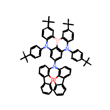 CC(C)(C)c1ccc(N2c3ccc(C(C)(C)C)cc3B3c4cc(C(C)(C)C)ccc4N(c4ccc(C(C)(C)C)cc4)c4cc(N(c5cccc6c5oc5ccccc56)c5cccc6c5oc5ccccc56)cc2c43)cc1